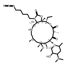 CC[C@H]1OC(=O)[C@H](C)C(=O)[C@@H](C)[C@@H](O[C@@H]2OC(C)CC(N(C)C)C2O)[C@](C)(OC)C[C@@H](C)CN[C@H](C)[C@H]2N(CCCCCN=[N+]=[N-])C(=O)O[C@]12C